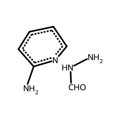 NNC=O.Nc1ccccn1